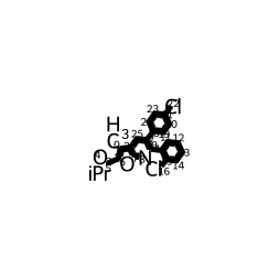 Cc1c(C(=O)C(C)C)oc2nc(-c3ccccc3Cl)c(-c3ccc(Cl)cc3)cc12